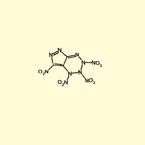 O=[N+]([O-])C1=C2C(=NN([N+](=O)[O-])N([N+](=O)[O-])N2[N+](=O)[O-])N=N1